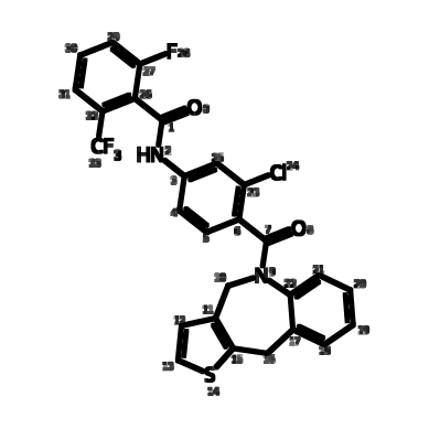 O=C(Nc1ccc(C(=O)N2Cc3ccsc3Cc3ccccc32)c(Cl)c1)c1c(F)cccc1C(F)(F)F